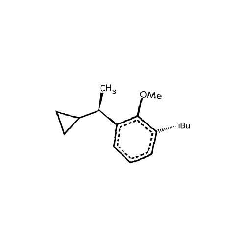 CC[C@@H](C)c1cccc([C@H](C)C2CC2)c1OC